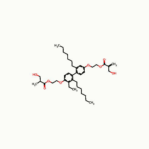 C=C(CO)C(=O)OCCOc1ccc(-c2ccc(OCCOC(=O)C(C)CO)c(CC)c2CCCCCCC)c(CCCCCCC)c1